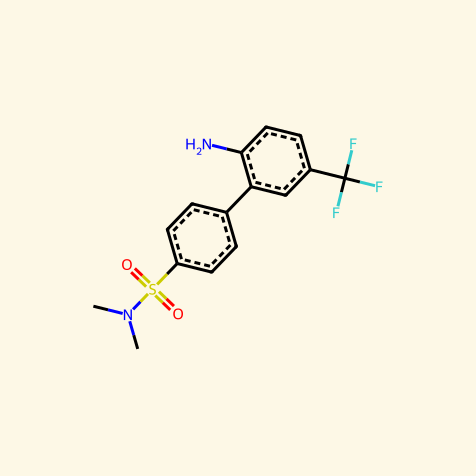 CN(C)S(=O)(=O)c1ccc(-c2cc(C(F)(F)F)ccc2N)cc1